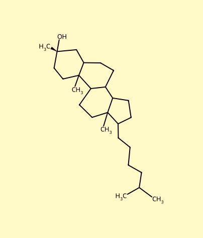 CC(C)CCCCC1CCC2C3CCC4C[C@@](C)(O)CCC4(C)C3CCC12C